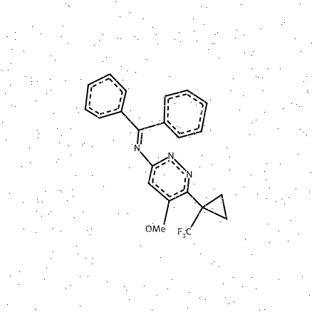 COc1cc(N=C(c2ccccc2)c2ccccc2)nnc1C1(C(F)(F)F)CC1